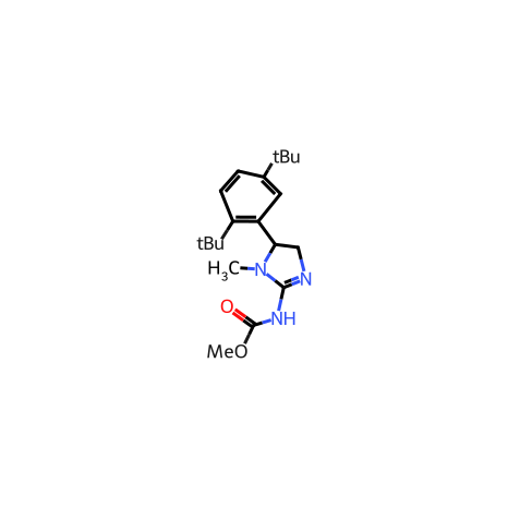 COC(=O)NC1=NCC(c2cc(C(C)(C)C)ccc2C(C)(C)C)N1C